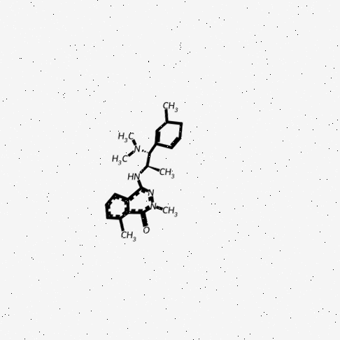 Cc1cccc2c(N[C@H](C)[C@@H](C3=CC(C)CC=C3)N(C)C)nn(C)c(=O)c12